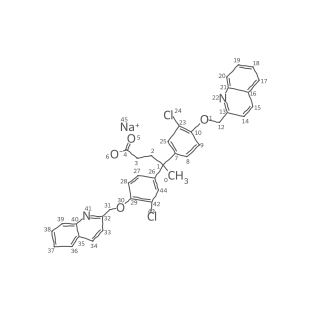 CC(CCC(=O)[O-])(c1ccc(OCc2ccc3ccccc3n2)c(Cl)c1)c1ccc(OCc2ccc3ccccc3n2)c(Cl)c1.[Na+]